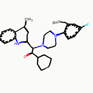 COc1cc(F)ccc1N1CCN(C(C(=O)C2CCCCC2)C2CC(C)c3ccccc3N2)CC1